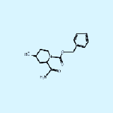 CC[C@H](C)C1CCN(C(=O)OCc2ccccc2)C(C(N)=O)C1